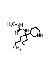 CCCCC(C=O)(NC(=N)NC)C1CCCNC1